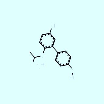 CCSc1ccc(-c2cc(Cl)ccc2OC(C)C(=O)O)cc1